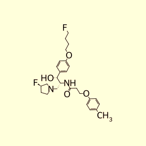 Cc1ccc(OCCC(=O)N[C@H](CN2CC[C@@H](F)C2)[C@H](O)c2ccc(OCCCCF)cc2)cc1